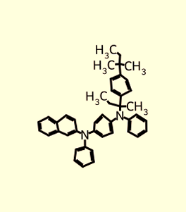 CCC(C)(C)c1ccc(C(C)(CC)N(c2ccccc2)c2ccc(N(c3ccccc3)c3ccc4ccccc4c3)cc2)cc1